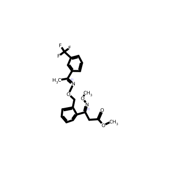 CO/N=C(/CC(=O)OC)c1ccccc1CO/N=C(\C)c1cccc(C(F)(F)F)c1